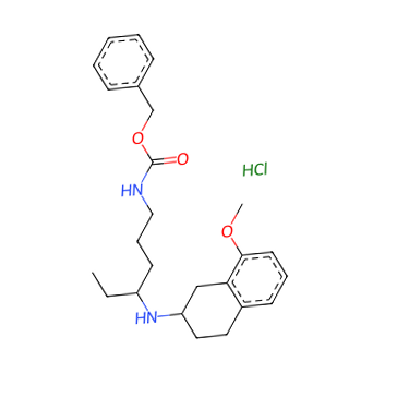 CCC(CCCNC(=O)OCc1ccccc1)NC1CCc2cccc(OC)c2C1.Cl